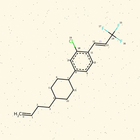 C=CCCC1CCC(c2ccc(/C=C/C(F)(F)F)c(Cl)c2)CC1